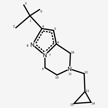 CC(C)(C)c1cc2n(n1)CCN(CC1CC1)C2